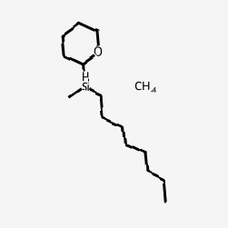 C.CCCCCCCC[SiH](C)C1CCCCO1